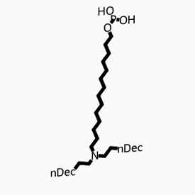 CCCCCCCCCCCCN(CCCCCCCCCCCC)CCCCCCCCCCCCCCOP(O)O